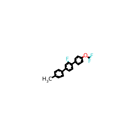 Cc1ccc(-c2ccc(-c3ccc(OC(F)F)cc3)c(F)c2)cc1